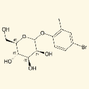 Cc1cc(Br)ccc1OC1O[C@H](CO)[C@@H](O)[C@H](O)[C@@H]1O